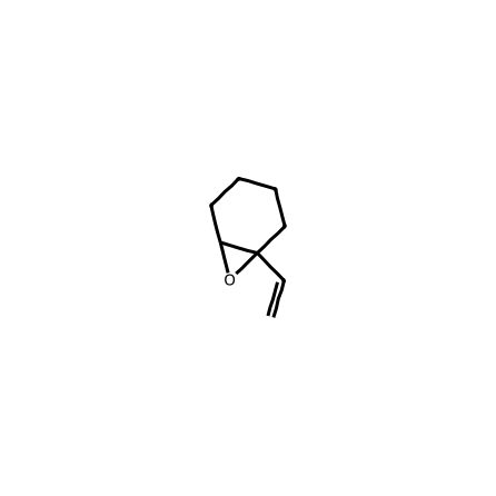 C=CC12CCCCC1O2